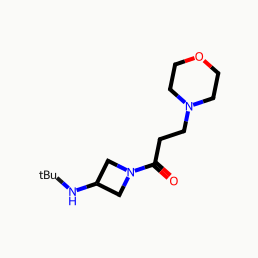 CC(C)(C)NC1CN(C(=O)CCN2CCOCC2)C1